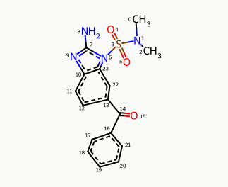 CN(C)S(=O)(=O)n1c(N)nc2ccc(C(=O)c3ccccc3)cc21